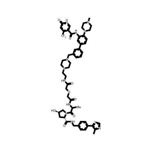 Cc1ncsc1-c1ccc(CNC(=O)[C@@H]2C[C@@H](O)CN2C(=O)C(NC(=O)COCC(=O)NCCN2CCN(Cc3cccc(-c4ccc(N5CCN(C)CC5)c(NC(=O)c5c[nH]c(=O)cc5C(F)(F)F)c4)c3)CC2)C(C)(C)C)cc1